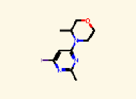 Cc1nc(I)cc(N2CCOCC2C)n1